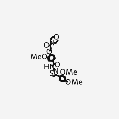 COc1ccc(-c2csc(NC(=O)c3ccc(OCC(=O)N4CCOCC4)c(OC)c3)n2)c(OC)c1